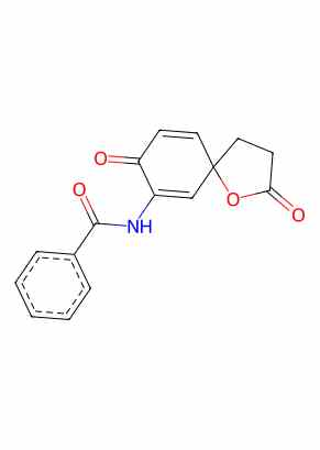 O=C1CCC2(C=CC(=O)C(NC(=O)c3ccccc3)=C2)O1